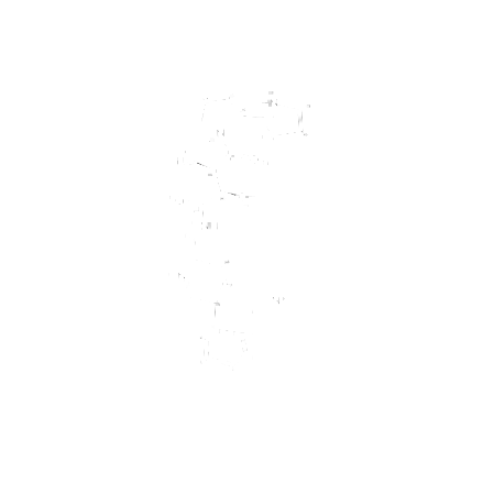 N#Cc1ccccc1-c1ccc(CNC(=O)[C@H](O)[C@@H](O)C(=O)N2CCCC2C2NC=CS2)nc1